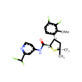 COc1c([C@@H]2C[C@](C)(C(F)(F)F)S[C@H]2C(=O)Nc2ccnc(C(F)F)c2)ccc(F)c1F